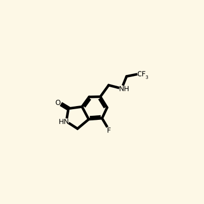 O=C1NCc2c(F)cc(CNCC(F)(F)F)cc21